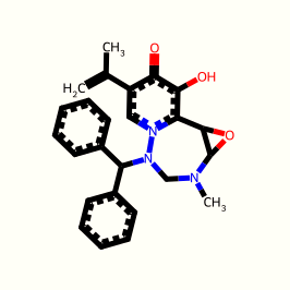 C=C(C)c1cn2c(c(O)c1=O)C1OC1N(C)CN2C(c1ccccc1)c1ccccc1